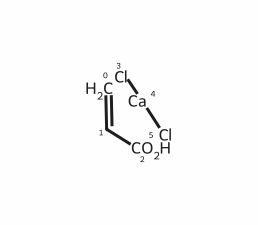 C=CC(=O)O.[Cl][Ca][Cl]